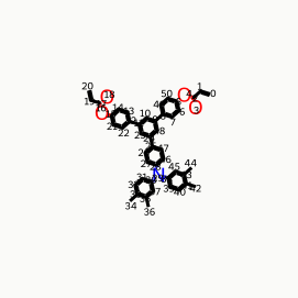 C=CC(=O)Oc1ccc(-c2cc(-c3ccc(OC(=O)C=C)cc3)cc(-c3ccc(N(c4ccc(C)c(C)c4)c4ccc(C)c(C)c4)cc3)c2)cc1